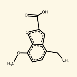 CCc1ccc(OC)c2oc(C(=O)O)cc12